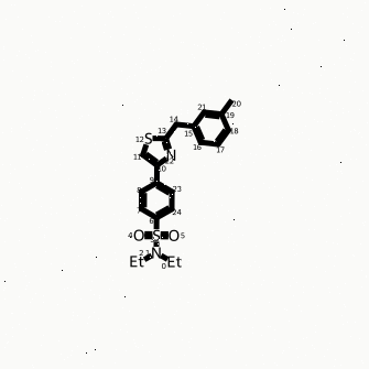 CCN(CC)S(=O)(=O)c1ccc(-c2csc(Cc3cccc(C)c3)n2)cc1